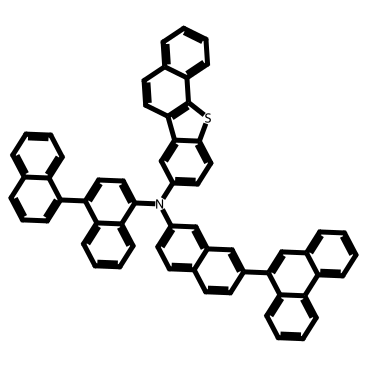 c1ccc2c(-c3ccc(N(c4ccc5ccc(-c6cc7ccccc7c7ccccc67)cc5c4)c4ccc5sc6c7ccccc7ccc6c5c4)c4ccccc34)cccc2c1